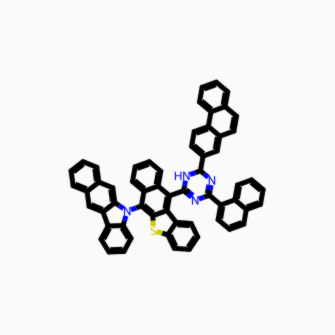 c1ccc2cc3c(cc2c1)c1ccccc1n3-c1c2ccccc2c(C2=NC(c3cccc4ccccc34)=NC(c3ccc4c(ccc5ccccc54)c3)N2)c2c1sc1ccccc12